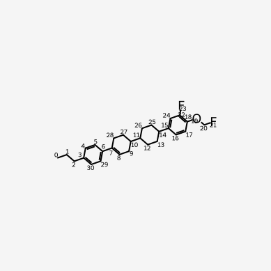 CCCc1ccc(C2=CCC(C3CCC(c4ccc(OCF)c(F)c4)CC3)CC2)cc1